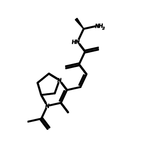 C=C(/C=C\C1=C(C)N(C(=C)C)C2CCN1C2)C(=C)N[C@@H](C)N